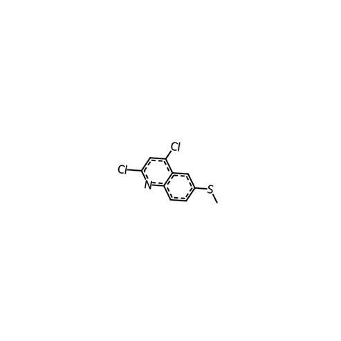 CSc1ccc2nc(Cl)cc(Cl)c2c1